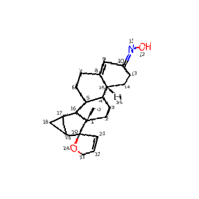 C[C@]12CCC3C(CCC4=CC(=NO)CC[C@@H]43)C1C1CC1[C@@]21C=CCO1